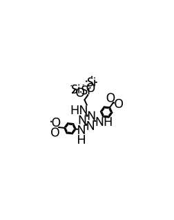 COC(=O)c1ccc(Nc2nc(NCCC[Si](C)(O[Si](C)(C)C)O[Si](C)(C)C)nc(Nc3ccc(C(=O)OC)cc3)n2)cc1